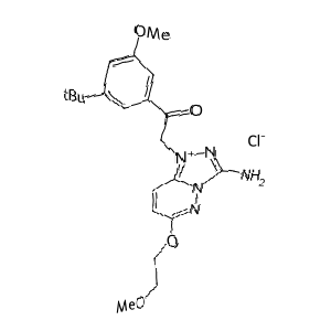 COCCOc1ccc2n(n1)c(N)n[n+]2CC(=O)c1cc(OC)cc(C(C)(C)C)c1.[Cl-]